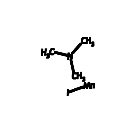 CN(C)C.[Mn][I]